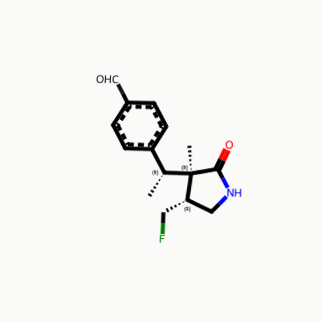 C[C@H](c1ccc(C=O)cc1)[C@@]1(C)C(=O)NC[C@@H]1CF